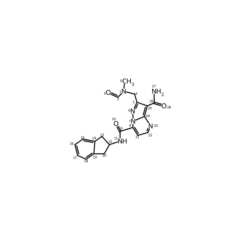 CN(C=O)Cc1nn2c(C(=O)NC3Cc4ccccc4C3)ccnc2c1C(N)=O